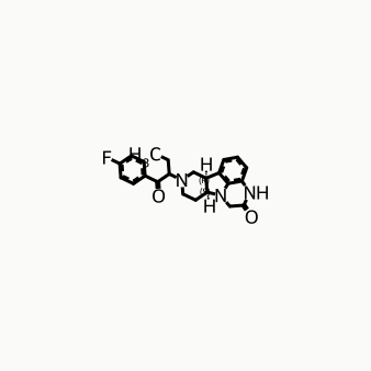 CCC(C(=O)c1ccc(F)cc1)N1CC[C@H]2[C@@H](C1)c1cccc3c1N2CC(=O)N3